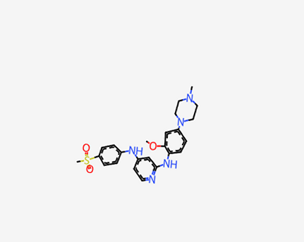 COc1cc(N2CCN(C)CC2)ccc1Nc1cc(Nc2ccc(S(C)(=O)=O)cc2)ccn1